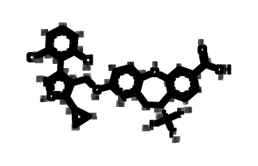 O=C(O)c1ccc2c(c1)Oc1ccc(OCc3c(-c4c(Cl)cccc4Cl)noc3C3CC3)nc1C[C@H]2C(F)(F)F